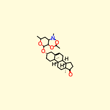 CC(=O)OC1C(O[C@H]2CC[C@@]3(C)C(=CC[C@@H]4[C@@H]3CC[C@]3(C)C(=O)CC[C@@H]43)C2)OC(C)CC1N(C)C